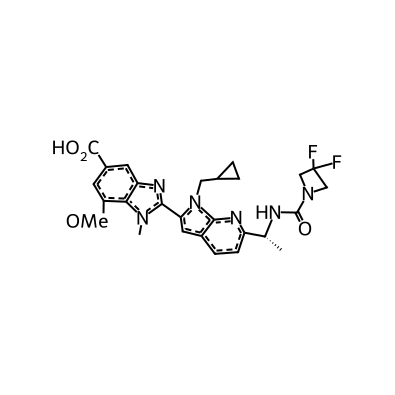 COc1cc(C(=O)O)cc2nc(-c3cc4ccc([C@@H](C)NC(=O)N5CC(F)(F)C5)nc4n3CC3CC3)n(C)c12